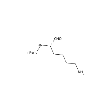 CCCCCN[C@H]([C]=O)CCCCN